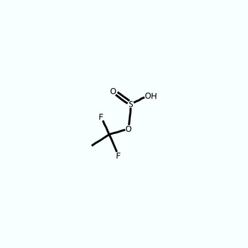 CC(F)(F)OS(=O)O